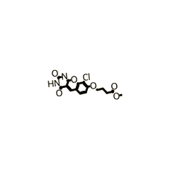 COC(=O)CCCOc1ccc2cc3c(=O)[nH]c(=O)nc-3oc2c1Cl